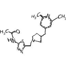 CC(=O)Nc1nnc(CN2CCC(Cc3cc(C)nc(C)c3)C2)s1